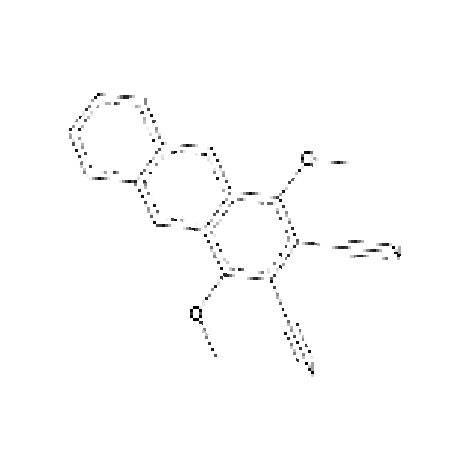 COc1c(C#N)c(C#N)c(OC)c2cc3ccccc3cc12